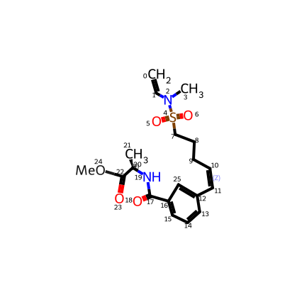 C=CN(C)S(=O)(=O)CCC/C=C\c1cccc(C(=O)N[C@H](C)C(=O)OC)c1